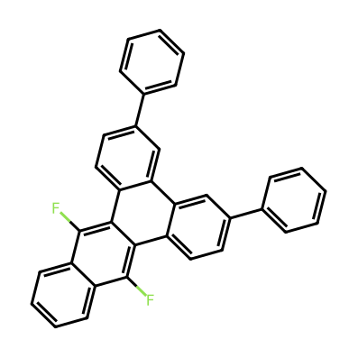 Fc1c2ccccc2c(F)c2c3ccc(-c4ccccc4)cc3c3cc(-c4ccccc4)ccc3c12